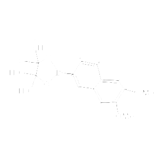 COc1cc2ccc(B3OC(C)(C)C(C)(C)O3)cc2cc1OC